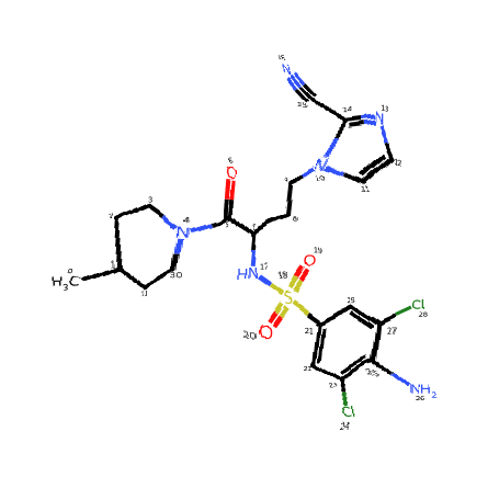 CC1CCN(C(=O)C(CCn2ccnc2C#N)NS(=O)(=O)c2cc(Cl)c(N)c(Cl)c2)CC1